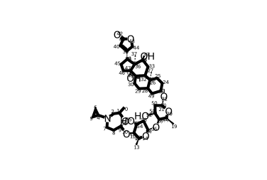 CC1CN(C2CC2)CCC(O[C@@H]2[C@H](C)O[C@@H](O[C@@H]3[C@H](C)O[C@@H](O[C@H]4CC[C@@]5(C)C(CCC6C5C[C@H](O)[C@]5(C)[C@@H](C7=CC(=O)OC7)CC[C@]65O)C4)C[C@@H]3O)C[C@@H]2O)O1